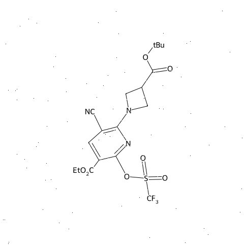 CCOC(=O)c1cc(C#N)c(N2CC(C(=O)OC(C)(C)C)C2)nc1OS(=O)(=O)C(F)(F)F